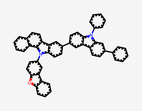 c1ccc(-c2ccc3c4cc(-c5ccc6c(c5)c5ccc7ccccc7c5n6-c5ccc6oc7ccccc7c6c5)ccc4n(-c4ccccc4)c3c2)cc1